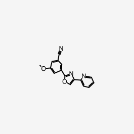 COc1cc(C#N)cc(-c2nc(-c3ccccn3)co2)c1